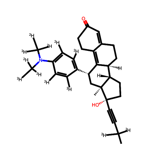 [2H]c1c([2H])c(N(C([2H])([2H])[2H])C([2H])([2H])[2H])c([2H])c([2H])c1[C@H]1C[C@@]2(C)[C@@H](CC[C@@]2(O)C#CC([2H])([2H])C)[C@@H]2CCC3=CC(=O)CCC3=C21